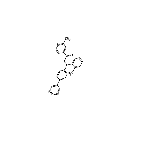 Cc1cc(C(=O)CC(c2ccc(-c3cncnc3)cc2)c2ccccc2C)ccn1